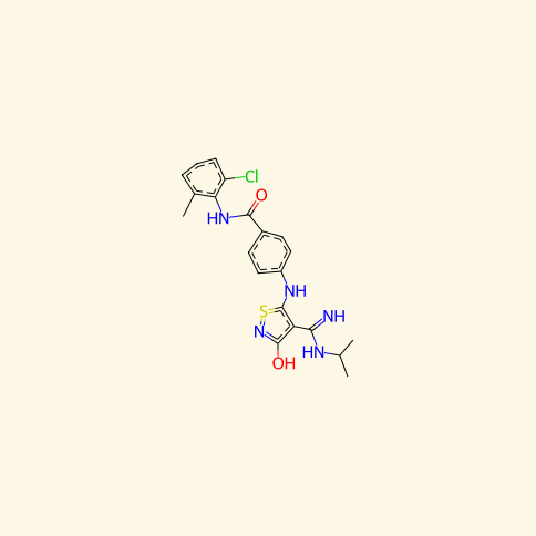 Cc1cccc(Cl)c1NC(=O)c1ccc(Nc2snc(O)c2C(=N)NC(C)C)cc1